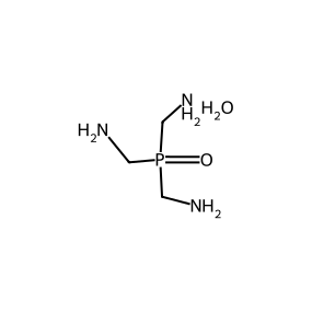 NCP(=O)(CN)CN.O